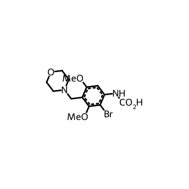 COc1cc(NC(=O)O)c(Br)c(OC)c1CN1CCOCC1